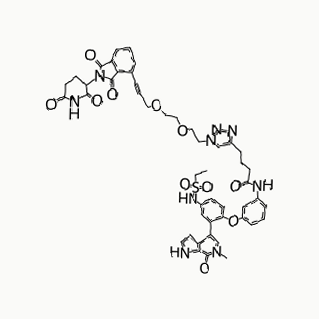 CCS(=O)(=O)Nc1ccc(Oc2cccc(NC(=O)CCCc3cn(CCOCCOCC#Cc4cccc5c4C(=O)N(C4CCC(=O)NC4=O)C5=O)nn3)c2)c(-c2cn(C)c(=O)c3[nH]ccc23)c1